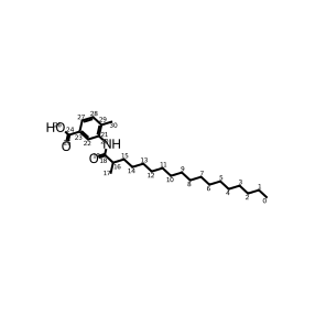 CCCCCCCCCCCCCCCCC(C)C(=O)Nc1cc(C(=O)O)ccc1C